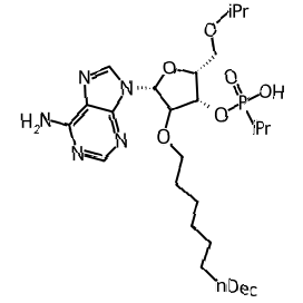 CCCCCCCCCCCCCCCCOC1[C@@H](OP(=O)(O)C(C)C)[C@@H](COC(C)C)O[C@H]1n1cnc2c(N)ncnc21